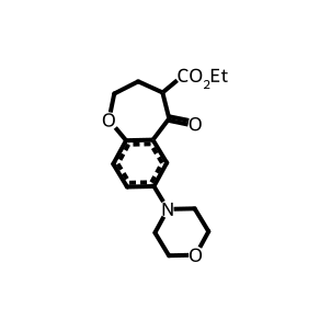 CCOC(=O)C1CCOc2ccc(N3CCOCC3)cc2C1=O